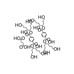 O=C(O)CCC(=O)O.O=C(OC(CCCO)C(O)CCCO)c1ccc(C(=O)OC(CCCO)C(O)CCCO)cc1.O=C(OC(CCCO)C(O)CCCO)c1ccc(C(=O)OC(CCCO)C(O)CCCO)cc1